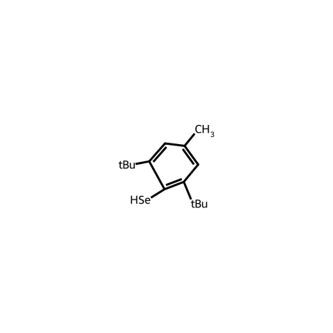 Cc1cc(C(C)(C)C)c([SeH])c(C(C)(C)C)c1